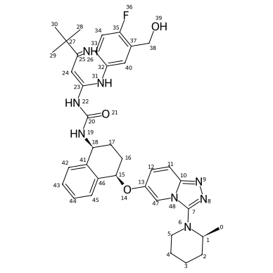 C[C@H]1CCCCN1c1nnc2ccc(O[C@@H]3CC[C@H](NC(=O)N/C(=C/C(=N)C(C)(C)C)Nc4ccc(F)c(CO)c4)c4ccccc43)cn12